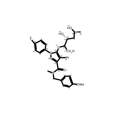 COc1ccc(CN(C)C(=O)c2nn(-c3ccc(F)cc3)c(OC(C(=O)O)[C@H](O)C[C@H](C)O)c2C(C)C)cc1